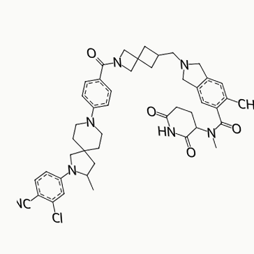 CC1CC2(CCN(c3ccc(C(=O)N4CC5(CC(CN6Cc7cc(C=O)c(C(=O)N(C)C8CCC(=O)NC8=O)cc7C6)C5)C4)cc3)CC2)CN1c1ccc(C#N)c(Cl)c1